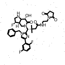 CC(C)(CC(=O)NCCN1C(=O)CCC1=O)[C@H](c1nc(-c2cc(F)ccc2F)cn1Cc1ccccc1)N1C[C@@H]2C(NC[C@@H]2F)[C@H](O)C1=O